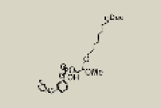 CCCCCCCCCCCCCCCCCCOCC(COP(=O)(O)Oc1cccc(C[n+]2ccsc2)c1)OC